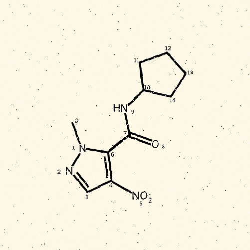 Cn1ncc([N+](=O)[O-])c1C(=O)NC1CCCC1